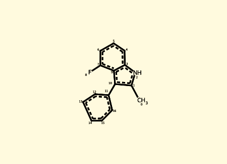 Cc1[nH]c2cccc(F)c2c1-c1ccccc1